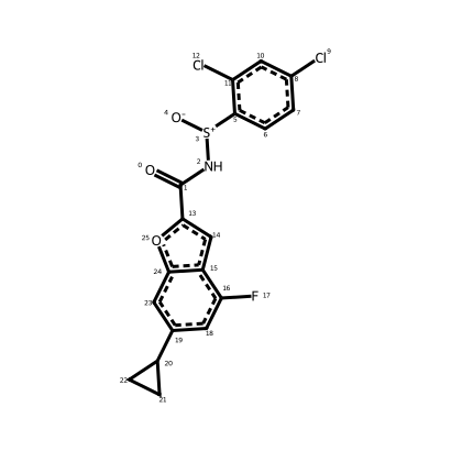 O=C(N[S+]([O-])c1ccc(Cl)cc1Cl)c1cc2c(F)cc(C3CC3)cc2o1